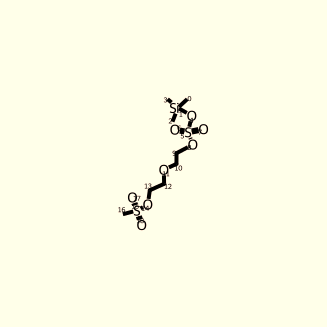 C[Si](C)(C)OS(=O)(=O)OCCOCCOS(C)(=O)=O